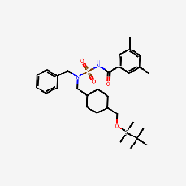 Cc1cc(C)cc(C(=O)NS(=O)(=O)N(Cc2ccccc2)CC2CCC(CO[Si](C)(C)C(C)(C)C)CC2)c1